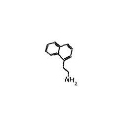 NCCc1cccc2ccccc12